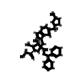 CCNC(=O)[C@H]1O[C@@](NCC(c2ccccc2)c2ccccc2)(On2cnc3cnc(NC4CCC(O)C4)nc32)[C@H](O)[C@@H]1O